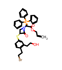 C=CCOC(=O)C(N1C[C@H](Sc2ccc(CCBr)c(CCO)c2)C1=O)=P(c1ccccc1)(c1ccccc1)c1ccccc1